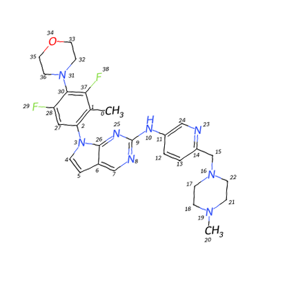 Cc1c(-n2ccc3cnc(Nc4ccc(CN5CCN(C)CC5)nc4)nc32)cc(F)c(N2CCOCC2)c1F